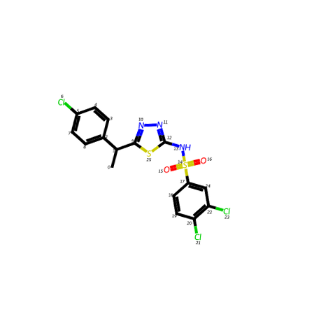 CC(c1ccc(Cl)cc1)c1nnc(NS(=O)(=O)c2ccc(Cl)c(Cl)c2)s1